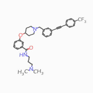 CN(C)CCCNC(=O)c1cccc(OC2CCN(Cc3cccc(C#Cc4ccc(C(F)(F)F)cc4)c3)CC2)c1